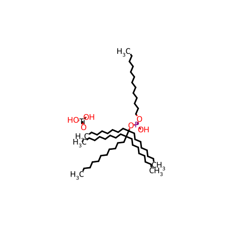 CCCCCCCCCCCCCOP(O)OC(CCCCCCCC)(CCCCCCCC)C(CCCCCCCC)(CCCCCCCC)CCCCCCCCCCC.[O]=[Ti]([OH])[OH]